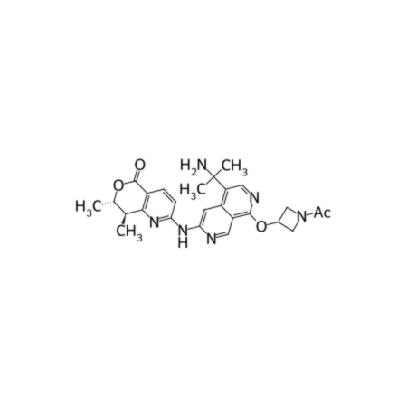 CC(=O)N1CC(Oc2ncc(C(C)(C)N)c3cc(Nc4ccc5c(n4)[C@@H](C)[C@H](C)OC5=O)ncc23)C1